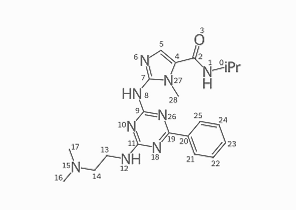 CC(C)NC(=O)c1cnc(Nc2nc(NCCN(C)C)nc(-c3ccccc3)n2)n1C